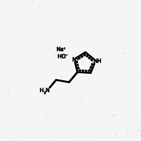 NCCc1c[nH]cn1.[Na+].[OH-]